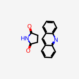 O=C1CCC(=O)N1.c1ccc2nc3ccccc3cc2c1